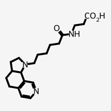 O=C(O)CCNC(=O)CCCCCN1CCC2CCc3ccncc3C21